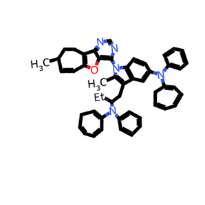 CCC(Cc1c(C)n(-c2ncnc3c4c(oc23)C=CC(C)CC4)c2ccc(N(C3=CC=CC=CC3)c3ccccc3)cc12)N(C1=CCC=CC=C1)c1ccccc1